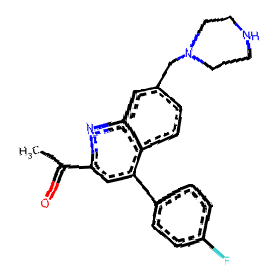 CC(=O)c1cc(-c2ccc(F)cc2)c2ccc(CN3CCNCC3)cc2n1